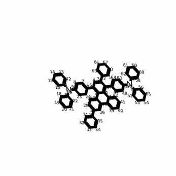 C1=CC(c2cc(C3=CC=C(N(c4ccccc4)c4ccccc4)CC3)c3c4ccc(-c5ccccc5)cc4c4ccccc4c3c2-c2ccc(N(C3=CCCC=C3)c3ccccc3)cc2)=CCC1